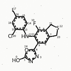 Oc1nnc(-c2cc3c(c(F)c2Nc2ccc(I)cc2Cl)CSC3)o1